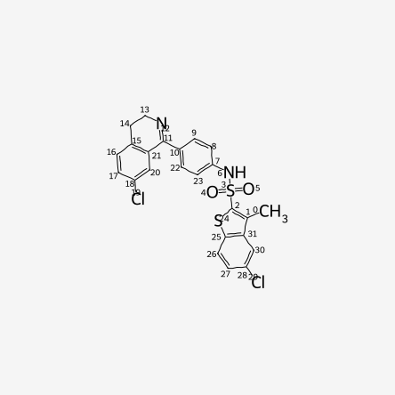 Cc1c(S(=O)(=O)Nc2ccc(C3=NCCc4ccc(Cl)cc43)cc2)sc2ccc(Cl)cc12